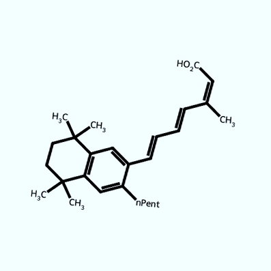 CCCCCc1cc2c(cc1/C=C/C=C/C(C)=C\C(=O)O)C(C)(C)CCC2(C)C